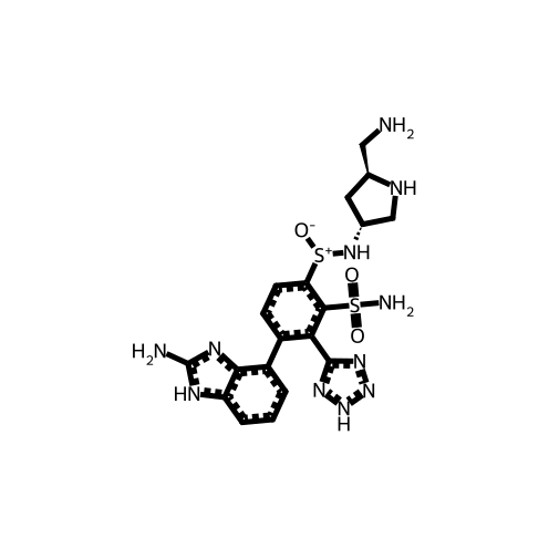 NC[C@@H]1C[C@@H](N[S+]([O-])c2ccc(-c3cccc4[nH]c(N)nc34)c(-c3nn[nH]n3)c2S(N)(=O)=O)CN1